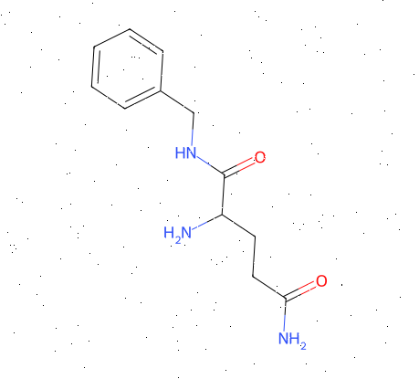 NC(=O)CCC(N)C(=O)NCc1ccccc1